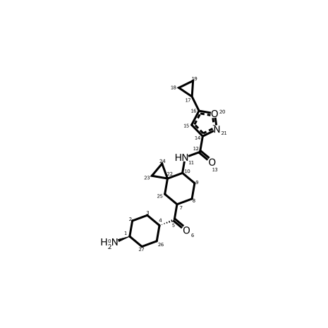 N[C@H]1CC[C@H](C(=O)C2CCC(NC(=O)c3cc(C4CC4)on3)C3(CC3)C2)CC1